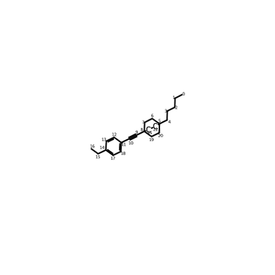 CCCCCC12CCC(C#Cc3ccc(CC)cc3)(CC1)CC2